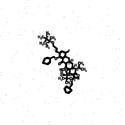 CN(C)[C@@H]1c2onc(OCc3ccccc3)c2C(=O)C2(O[Si](C)(C)C(C)(C)C)C(O)=C3C(=O)c4c(c(F)cc(/C=C/CO[Si](C)(C)C(C)(C)C)c4OCc4ccccc4)C[C@H]3C[C@@H]12